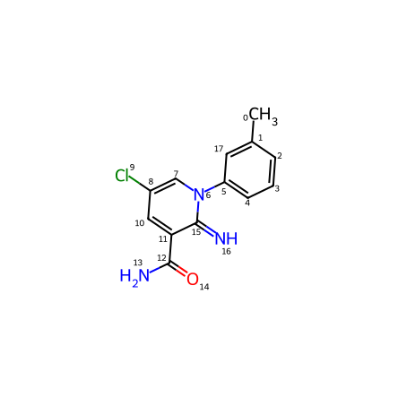 Cc1cccc(-n2cc(Cl)cc(C(N)=O)c2=N)c1